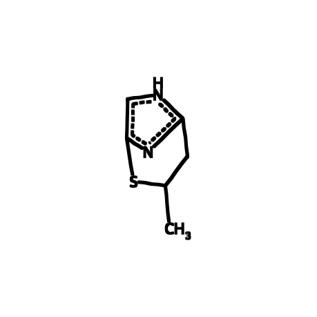 CC1Cc2nc(c[nH]2)S1